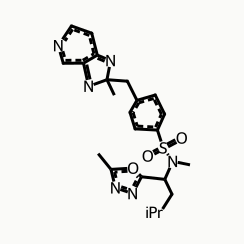 Cc1nnc(C(CC(C)C)N(C)S(=O)(=O)c2ccc(CC3(C)N=c4ccncc4=N3)cc2)o1